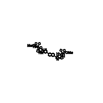 COC(=O)N[C@H](C(=O)N1CCC[C@H]1c1ncc(-c2ccc3cc(-c4cnc5nc([C@@H]6CCCN6C(=O)[C@@H](NC(=O)OC)C6CCC6)[nH]c5c4)ccc3c2)[nH]1)C1CCC1